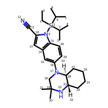 CC[Si](C(C)C)(C(C)C)n1c(C#N)cc2cc(N3CC(C)(C)N[C@H]4CCCC[C@@H]43)ccc21